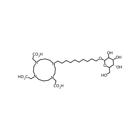 O=C(O)CN1CCCN(CC(=O)O)CCN(CC(=O)O)CCCN(CCCCCCCCCCO[C@@H]2OC(CO)[C@@H](O)[C@H](O)C2O)CC1